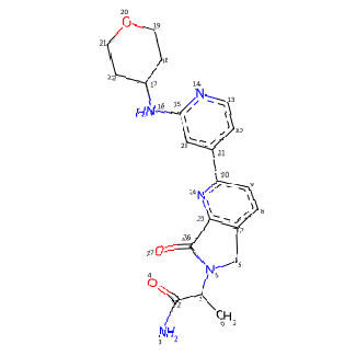 CC(C(N)=O)N1Cc2ccc(-c3ccnc(NC4CCOCC4)c3)nc2C1=O